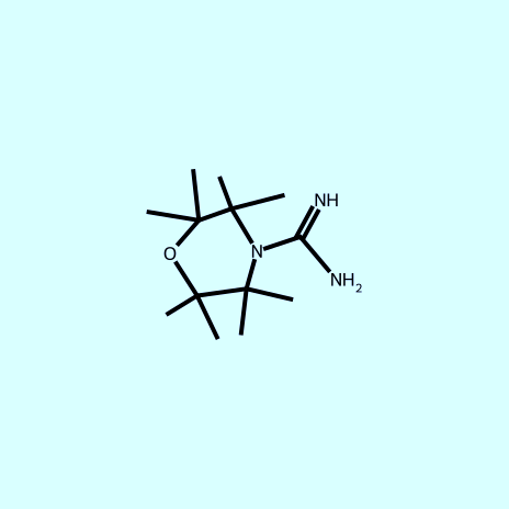 CC1(C)OC(C)(C)C(C)(C)N(C(=N)N)C1(C)C